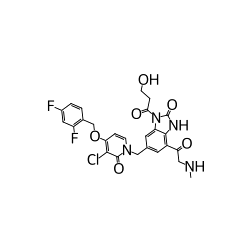 CNCC(=O)c1cc(Cn2ccc(OCc3ccc(F)cc3F)c(Cl)c2=O)cc2c1[nH]c(=O)n2C(=O)CCO